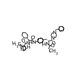 CCC(=O)N[C@H](Cc1ccc(NC(=O)C(NC(=O)c2ccnn2C)C2CCCCC2)cc1)C(=O)N1CCN(Cc2ccccc2)CC1